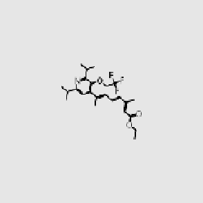 CCOC(=O)C=C(C)C=CC=C(C)c1cc(C(C)C)nc(C(C)C)c1OCC(F)(F)F